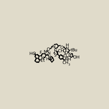 CCc1cccc2cc(O)cc(-c3ncc4c(N5CC6CCC(C5)N6)nc(OCCN5CCC(COCC(=O)N[C@H](C(=O)N6C[C@H](O)C[C@H]6C(=O)N[C@@H](C)c6ccc(-c7scnc7C)cc6)C(C)(C)C)CC5)nc4c3F)c12